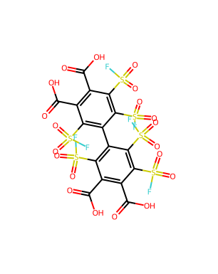 O=C(O)c1c(C(=O)O)c(S(=O)(=O)F)c(S(=O)(=O)F)c(-c2c(S(=O)(=O)F)c(C(=O)O)c(C(=O)O)c(S(=O)(=O)F)c2S(=O)(=O)F)c1S(=O)(=O)F